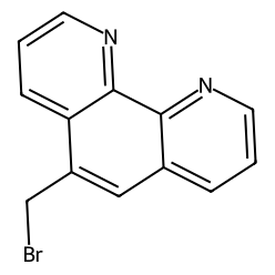 BrCc1cc2cccnc2c2ncccc12